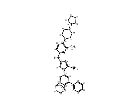 Cc1cc(Nc2nc(N)n(-c3cc(-c4ccccc4)c4c(n3)C3CCN4CC3)n2)ccc1N1CCC(N2CCCC2)CC1